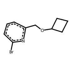 Brc1cccc(COC2CCC2)n1